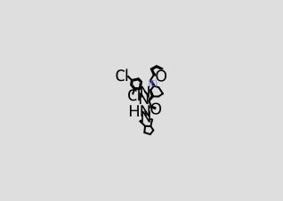 O=C(NN1CC2CCCC2C1)c1nn(-c2ccc(Cl)cc2Cl)c2c1CCC/C2=C\c1ccco1